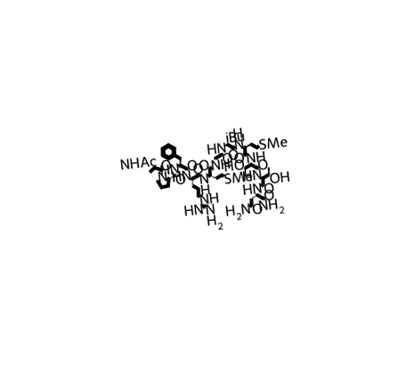 CC[C@H](C)[C@H](NC(=O)CNC(=O)[C@H](CCSC)NC(=O)[C@H](CCCNC(=N)N)NC(=O)[C@H](Cc1ccccc1)NC(=O)[C@@H]1CCCN1C(=O)[C@H](C)NC(C)=O)C(=O)N[C@@H](CCSC)C(=O)N[C@H](C(=O)N[C@H](C(=O)N[C@@H](CC(N)=O)C(N)=O)[C@@H](C)O)[C@@H](C)O